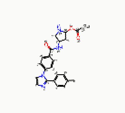 Cc1ccc(-c2nccn2-c2ccc(C(=O)N[C@H]3CNC(OC(=O)C(C)(C)C)C3)cc2)cc1